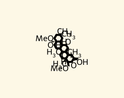 COC[C@]1(C)C(=O)/C(=C\O)C[C@]2(C)C3=CC(=O)[C@@H]4[C@@H]5CC(C)(C)CC[C@]5(C(=O)OC)CC[C@@]4(C)[C@]3(C)CC[C@@H]12